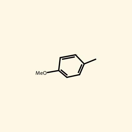 COc1c[c]c(C)cc1